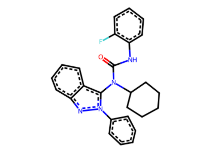 O=C(Nc1ccccc1F)N(c1c2ccccc2nn1-c1ccccc1)C1CCCCC1